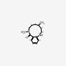 CC1CCCN(C)C(=O)c2ccccc2NCC1